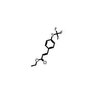 CCOC(=O)/C=C/c1ccc(SC(F)(F)F)cc1